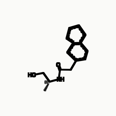 C[C@H](CO)NC(=O)Cc1ccc2ccccc2c1